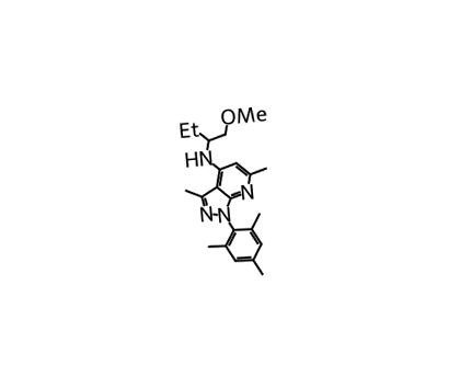 CCC(COC)Nc1cc(C)nc2c1c(C)nn2-c1c(C)cc(C)cc1C